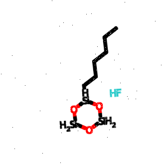 CCCCCC[SiH]1O[SiH2]O[SiH2]O1.F